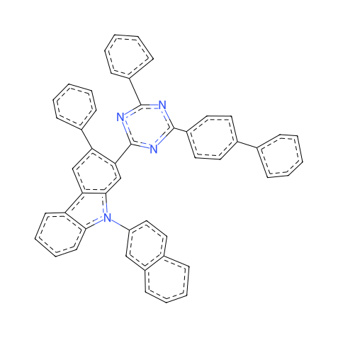 c1ccc(-c2ccc(-c3nc(-c4ccccc4)nc(-c4cc5c(cc4-c4ccccc4)c4ccccc4n5-c4ccc5ccccc5c4)n3)cc2)cc1